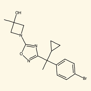 CC1(O)CN(c2nc(C(C)(c3ccc(Br)cc3)C3CC3)no2)C1